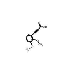 COc1cccc(C#CC(=O)O)c1OC